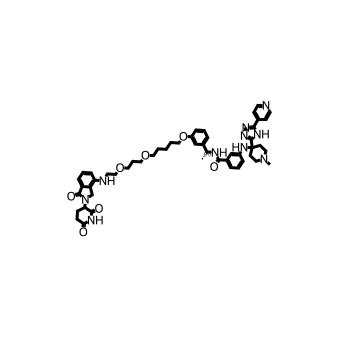 C[C@@H](NC(=O)c1cccc(NC2(c3nnc(-c4ccncc4)[nH]3)CCN(C)CC2)c1)c1cccc(OCCCCCOCCCOCCNc2cccc3c2CN(C2CCC(=O)NC2=O)C3=O)c1